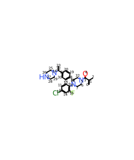 C=C(C)C(=O)N1CCN(c2ccc(Cl)cc2F)[C@H](c2ccc(C(C)N3CCNCC3)cc2)C1